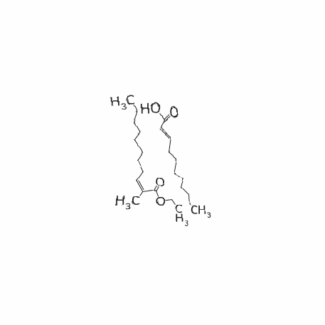 CCCCCCCCC=C(C)C(=O)OCC.CCCCCCCCC=CC(=O)O